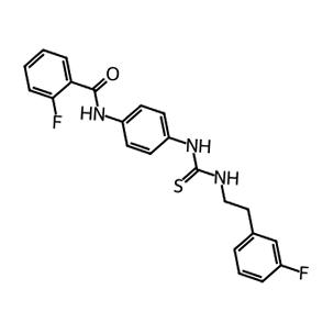 O=C(Nc1ccc(NC(=S)NCCc2cccc(F)c2)cc1)c1ccccc1F